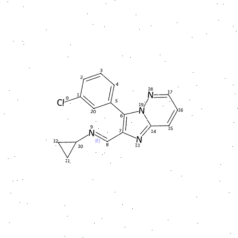 Clc1cccc(-c2c(/C=N/C3CC3)nc3cccnn23)c1